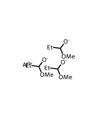 CCC([O-])OC.CCC([O-])OC.CCC([O-])OC.[Al+3]